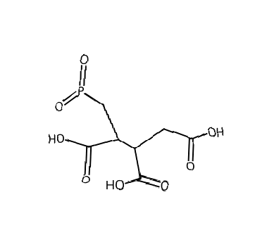 O=C(O)CC(C(=O)O)C(CP(=O)=O)C(=O)O